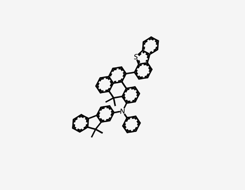 CC1(C)c2ccccc2-c2ccc(N(c3ccccc3)c3cccc4c3C(C)(C)c3cccc5ccc(-c6cccc7c6sc6ccccc67)c-4c35)cc21